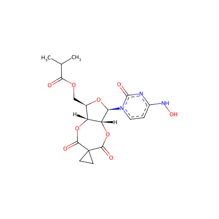 CC(C)C(=O)OC[C@H]1O[C@@H](n2ccc(NO)nc2=O)[C@@H]2OC(=O)C3(CC3)C(=O)O[C@@H]21